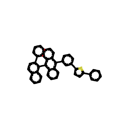 c1ccc(-c2ccc(-c3cccc(-c4c5ccccc5c(-c5c(-c6ccccc6)ccc6ccccc56)c5ccccc45)c3)s2)cc1